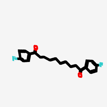 O=C(CCCCCCCCC(=O)c1ccc(F)cc1)c1ccc(F)cc1